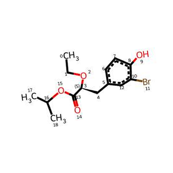 CCO[C@@H](Cc1ccc(O)c(Br)c1)C(=O)OC(C)C